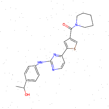 CC(O)c1ccc(Nc2nccc(-c3cc(C(=O)N4CCCCC4)cs3)n2)cc1